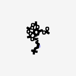 CC(=O)OCC1C[C@@H](SSC/C=C\CC(C)(C)C)C(OC(C)=O)C(OC(C)=O)[C@@H]1OC(C)=O